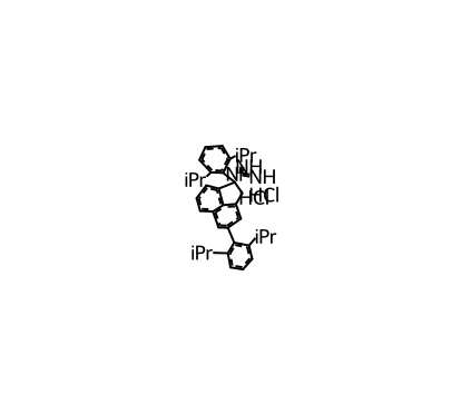 CC(C)c1cccc(C(C)C)c1-c1cc2c3c(cccc3c1)[C](c1c(C(C)C)cccc1C(C)C)([Ni](=[NH])=[NH])C2.Cl.Cl